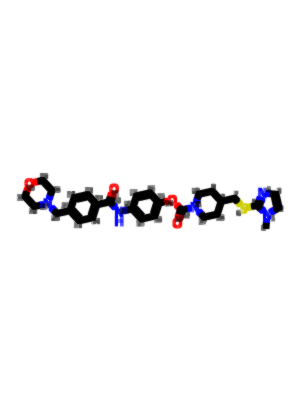 Cn1ccnc1SCC1CCN(C(=O)Oc2ccc(NC(=O)c3ccc(CN4CCOCC4)cc3)cc2)CC1